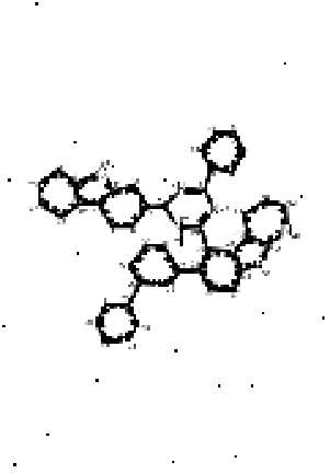 c1ccc(C2=NC(c3ccc4c(c3)oc3ccccc34)NC(c3c(-c4cccc(-c5ccccc5)c4)ccc4oc5ncccc5c34)=N2)cc1